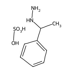 CC(NN)c1ccccc1.O=S(=O)(O)O